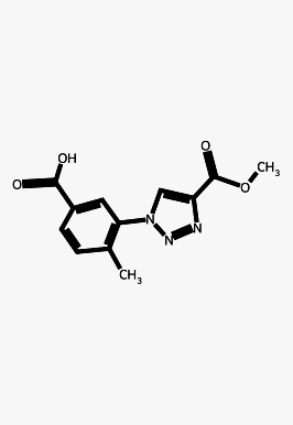 COC(=O)c1cn(-c2cc(C(=O)O)ccc2C)nn1